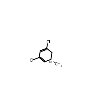 C[C@@H]1C=C(Cl)C=C(Cl)C1